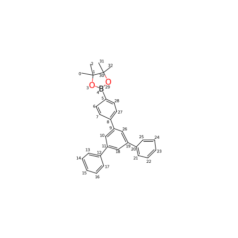 CC1(C)OB(c2ccc(-c3cc(-c4ccccc4)cc(-c4ccccc4)c3)cc2)OC1(C)C